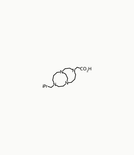 CC(C)CN1CCCN2CCN(CCCN(CC(=O)O)CC2)CC1